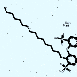 CCCCCCCCCCCCCCCCc1c(Oc2ccccc2S(=O)(=O)O)cccc1S(=O)(=O)O.[NaH].[NaH]